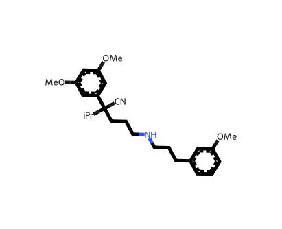 COc1cccc(CCCNCCCC(C#N)(c2cc(OC)cc(OC)c2)C(C)C)c1